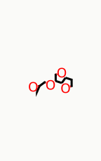 C1CC2OCC(OCC3CO3)C2O1